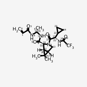 C=CC(=O)N[C@H](C)NC(=O)[C@@H]1[C@@H]2[C@H](CN1C(=O)[C@@H](NC(=O)C(F)(F)F)C1CC1)C2(C)C